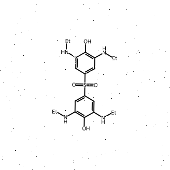 CCNc1cc(S(=O)(=O)c2cc(NCC)c(O)c(NCC)c2)cc(NCC)c1O